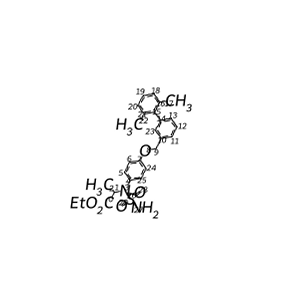 CCOC(=O)C(C)N(c1ccc(OCc2cccc(-c3c(C)cccc3C)c2)cc1)S(N)(=O)=O